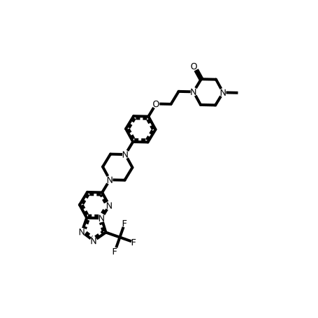 CN1CCN(CCOc2ccc(N3CCN(c4ccc5nnc(C(F)(F)F)n5n4)CC3)cc2)C(=O)C1